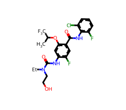 CCN(CCO)C(=O)Nc1cc(OC(C)C(F)(F)F)c(C(=O)Nc2c(F)cccc2Cl)cc1F